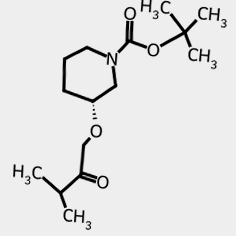 CC(C)C(=O)CO[C@@H]1CCCN(C(=O)OC(C)(C)C)C1